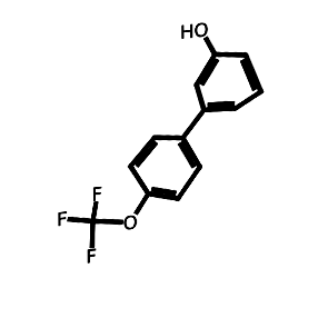 Oc1cccc(-c2ccc(OC(F)(F)F)cc2)c1